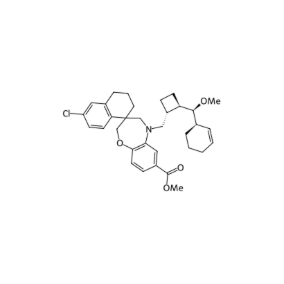 COC(=O)c1ccc2c(c1)N(C[C@@H]1CC[C@H]1[C@@H](OC)[C@H]1C=CCCC1)CC1(CCCc3cc(Cl)ccc31)CO2